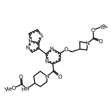 COC(=O)NC1CCN(C(=O)c2cc(OCC3CN(C(=O)OC(C)(C)C)C3)nc(-c3cnn4ccsc34)n2)CC1